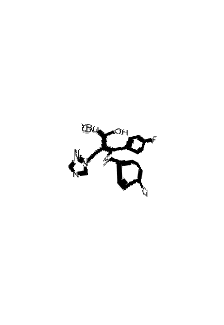 CC(C)(C)C(O)C(C(Sc1ccc(Cl)cc1)c1ccc(F)cc1)n1cncn1